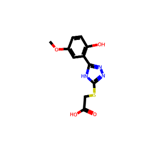 COc1ccc(O)c(-c2nnc(SCC(=O)O)[nH]2)c1